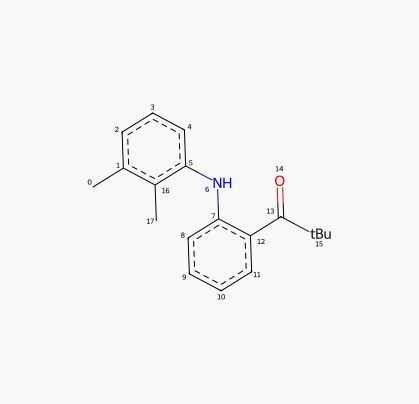 Cc1cccc(Nc2ccccc2C(=O)C(C)(C)C)c1C